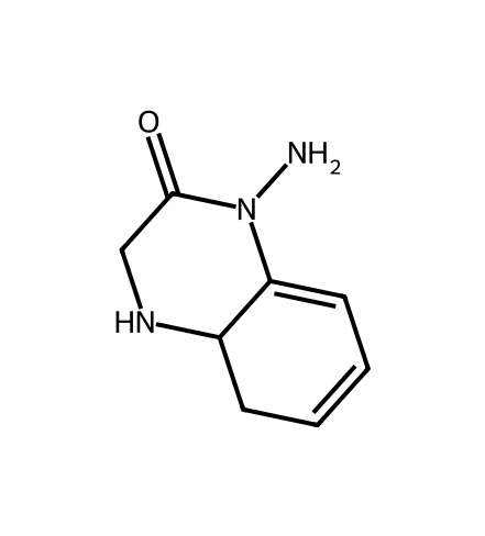 NN1C(=O)CNC2CC=CC=C21